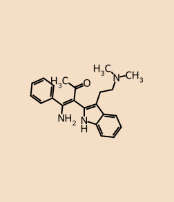 CC(=O)C(=C(N)c1ccccc1)c1[nH]c2ccccc2c1CCN(C)C